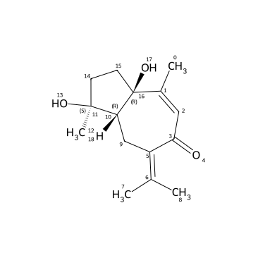 CC1=CC(=O)C(=C(C)C)C[C@@H]2[C@@](C)(O)CC[C@]12O